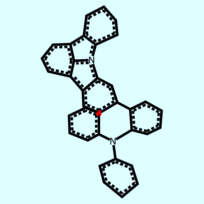 c1ccc(N(c2ccccc2)c2ccccc2-c2ccc3c4cccc5c6ccccc6n(c3c2)c54)cc1